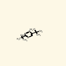 CC(C)(C)c1bbc(C(C)(C)C)cb1